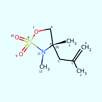 C=C(C)C[C@@]1(C)COS(=O)(=O)N1C